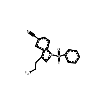 N#Cc1ccc2c(c1)c(CCN)cn2S(=O)(=O)c1ccccc1